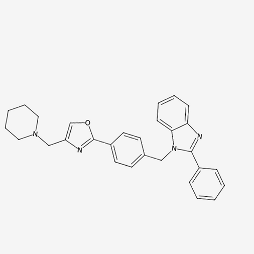 c1ccc(-c2nc3ccccc3n2Cc2ccc(-c3nc(CN4CCCCC4)co3)cc2)cc1